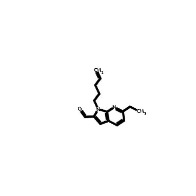 C=CCCCn1c(C=O)cc2ccc(CC)nc21